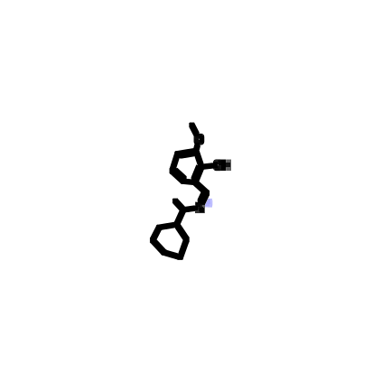 COc1cccc(/C=N\C(C)C2CCCCC2)c1O